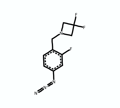 [N-]=[N+]=Nc1ccc(CN2CC(F)(F)C2)c(F)c1